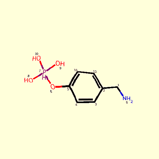 NCc1ccc(O[PH](O)(O)O)cc1